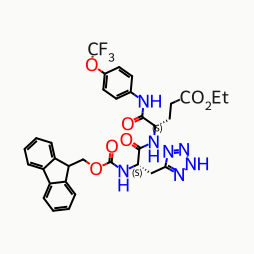 CCOC(=O)CC[C@H](NC(=O)[C@H](Cc1nn[nH]n1)NC(=O)OCC1c2ccccc2-c2ccccc21)C(=O)Nc1ccc(OC(F)(F)F)cc1